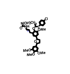 COc1cc(C2CCC(c3cc(OC)c(OC)c(OC)c3)O2)cc(C/C=C/NC(=O)N(C)O)c1OC(C)Sc1ccc(Cl)cc1